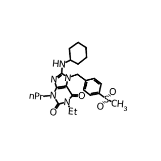 CCCn1c(=O)n(CC)c(=O)c2c1nc(NC1CCCCC1)n2Cc1ccc(S(C)(=O)=O)cc1